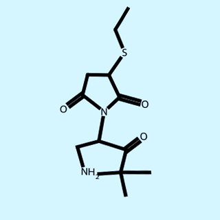 CCSC1CC(=O)N(C(CN)C(=O)C(C)(C)C)C1=O